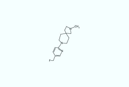 CN1CCC2(CCN(c3ccc(CF)cn3)CC2)C1